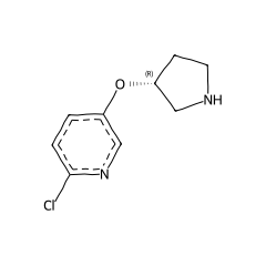 Clc1ccc(O[C@@H]2CCNC2)cn1